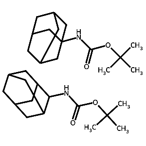 CC(C)(C)OC(=O)NC12CC3CC(CC(C3)C1)C2.CC(C)(C)OC(=O)NC1C2CC3CC(C2)CC1C3